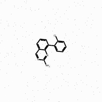 Nc1ncc2cccc(-c3ccccc3Cl)c2n1